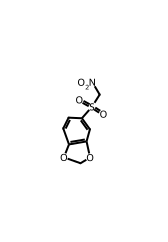 O=[N+]([O-])CS(=O)(=O)c1ccc2c(c1)OCO2